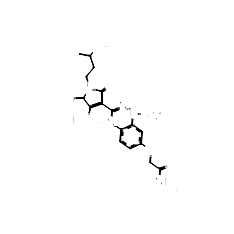 COP1(=O)N=C(C2=C(O)C(C(C)(C)C)N(CCC(C)C(F)(F)F)C2=O)Nc2ccc(OCC(N)=O)cc21